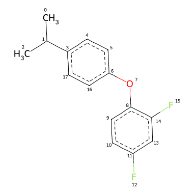 CC(C)c1ccc(Oc2ccc(F)cc2F)cc1